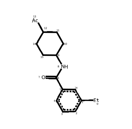 CCc1cccc(C(=O)NC2CCC(C(C)=O)CC2)c1